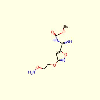 CC(C)(C)OC(=O)NC(=N)c1cc(OCCON)no1